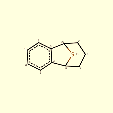 c1ccc2c(c1)C1CCCC2S1